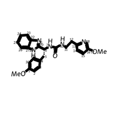 COc1ccc(C[C@@H](NC(=O)NCCc2ccc(OC)cn2)c2nc3ccccc3[nH]2)cc1